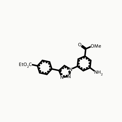 CCOC(=O)c1ccc(-c2cn(-c3cc(N)cc(C(=O)OC)c3)nn2)cc1